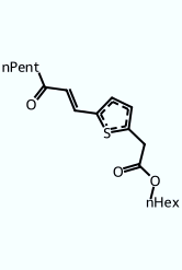 CCCCCCOC(=O)Cc1ccc(/C=C/C(=O)CCCCC)s1